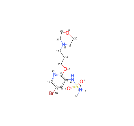 CN(C)S(=O)(=O)Nc1cc(Br)cnc1OCCCN1CCOCC1